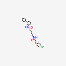 O=C(CSc1ccc(Br)cc1)NCCCCCC(=O)Nc1cccc(-c2ccccc2)c1